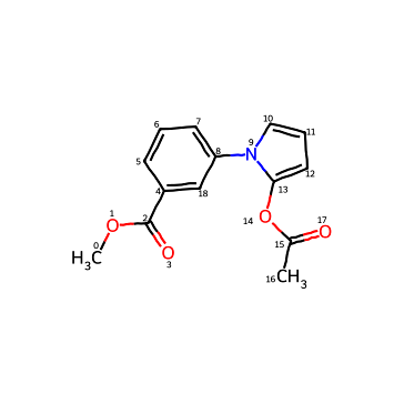 COC(=O)c1cccc(-n2cccc2OC(C)=O)c1